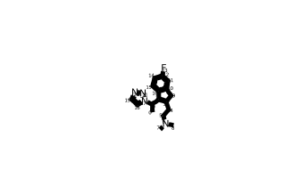 CC(C1=C(CCN(C)C)Cc2cc(F)ccc21)n1ccnn1